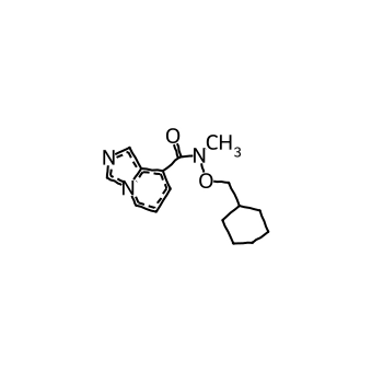 CN(OCC1CCCCC1)C(=O)c1cccn2cncc12